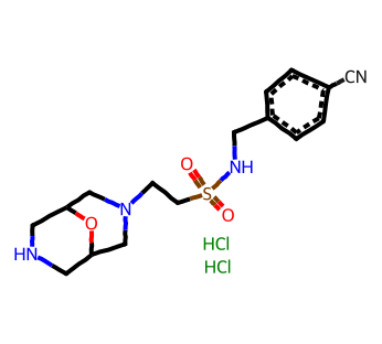 Cl.Cl.N#Cc1ccc(CNS(=O)(=O)CCN2CC3CNCC(C2)O3)cc1